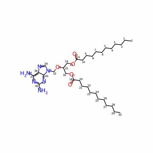 CCCCCCCCCCCC(=O)OCC(COC(=O)CCCCCCCCCCC)OCn1cnc2c(N)nc(N)nc21